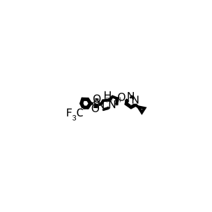 O=S(=O)(c1cccc(C(F)(F)F)c1)N1CCN2C[C@H](Oc3ccc(C4CC4)nn3)C[C@H]2C1